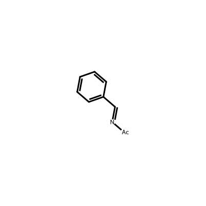 CC(=O)N=Cc1ccccc1